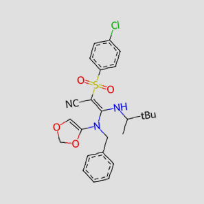 CC(NC(=C(C#N)S(=O)(=O)c1ccc(Cl)cc1)N(Cc1ccccc1)C1=COCO1)C(C)(C)C